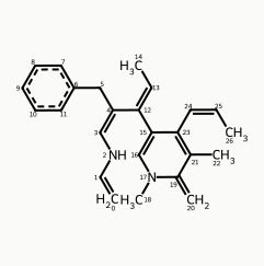 C=CN/C=C(Cc1ccccc1)\C(=C/C)C1=CN(C)C(=C)C(C)=C1/C=C\C